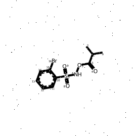 CC(C)C(=O)ONS(=O)(=O)c1ccccc1Br